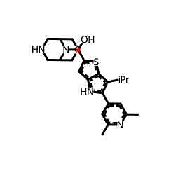 Cc1cc(-c2[nH]c3cc(C(O)N4C5CNCC4COC5)sc3c2C(C)C)cc(C)n1